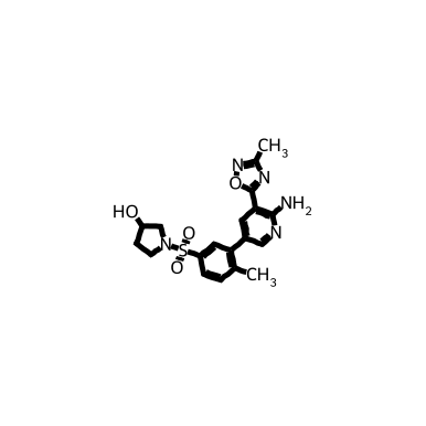 Cc1noc(-c2cc(-c3cc(S(=O)(=O)N4CCC(O)C4)ccc3C)cnc2N)n1